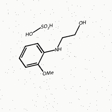 COc1ccccc1NCCO.O=S(=O)(O)O